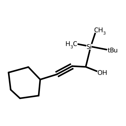 CC(C)(C)[Si](C)(C)C(O)C#CC1CCCCC1